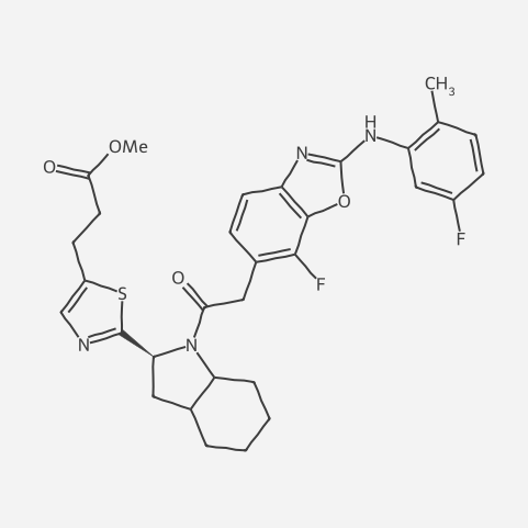 COC(=O)CCc1cnc([C@@H]2CC3CCCCC3N2C(=O)Cc2ccc3nc(Nc4cc(F)ccc4C)oc3c2F)s1